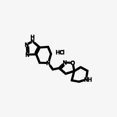 C1CC2(CCN1)CC(CN1CCc3[nH]nnc3C1)=NO2.Cl